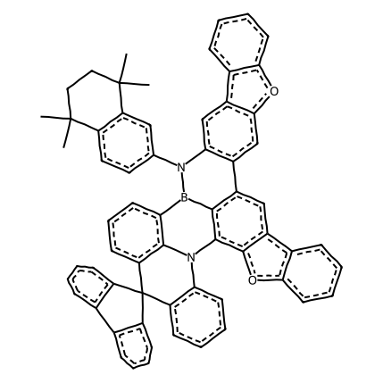 CC1(C)CCC(C)(C)c2cc(N3B4c5cccc6c5N(c5ccccc5C65c6ccccc6-c6ccccc65)c5c4c(cc4c5oc5ccccc54)-c4cc5oc6ccccc6c5cc43)ccc21